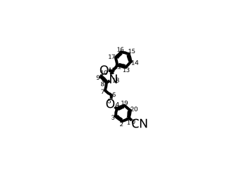 N#Cc1ccc(OCCc2coc(-c3ccccc3)n2)cc1